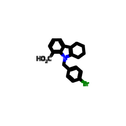 O=C(O)c1cccc2c3c(n(Cc4ccc(Br)cc4)c12)CCCC3